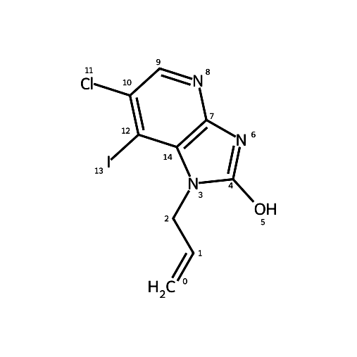 C=CCn1c(O)nc2ncc(Cl)c(I)c21